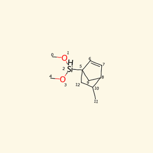 CO[SiH](OC)C12C=CC(C1)C(C)C2